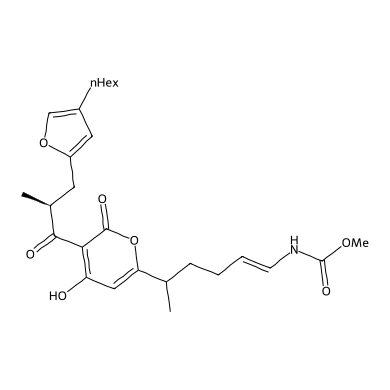 CCCCCCc1coc(C[C@H](C)C(=O)c2c(O)cc(C(C)CC/C=C/NC(=O)OC)oc2=O)c1